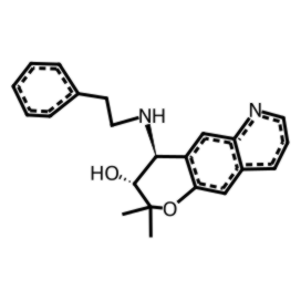 CC1(C)Oc2cc3cccnc3cc2[C@H](NCCc2ccccc2)[C@H]1O